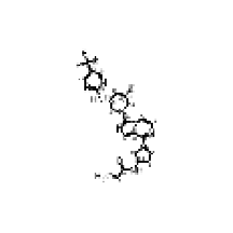 C=CC(=O)N[C@@H]1CCN(c2nccn3c(N4C[C@H](F)C[C@@H](Nc5ncc(C(F)(F)F)cn5)C4)ncc23)C1